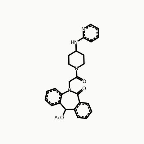 CC(=O)OC1c2ccccc2C(=O)N(CC(=O)N2CCC(Nc3ccccn3)CC2)c2ccccc21